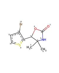 CC1(C)NC(=O)OC1c1sccc1Br